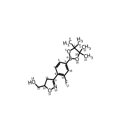 CC1(C)OB(c2ccc(C3=NOC(CO)C3)c(F)c2)OC1(C)C